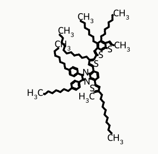 CCCCCCCCCCCCc1cc(-c2ccc(-c3cc(CCCCCCCCCCCC)c(-c4cc5c(CCCCCCCC)c(CCCCCCCC)c6cc(C)sc6c5s4)s3)c3nc(-c4ccc(CCCCCCCC)cc4)c(-c4ccc(CCCCCCCC)cc4)nc23)sc1C